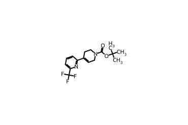 CC(C)(C)OC(=O)N1CC=C(c2cccc(C(F)(F)F)n2)CC1